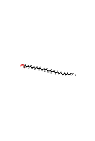 CCCC=CCCCCCCCCCCCCCCCCCCCCCCCCC(=O)O